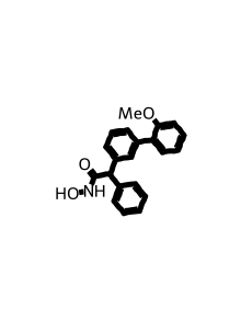 COc1ccccc1-c1cccc(C(C(=O)NO)c2ccccc2)c1